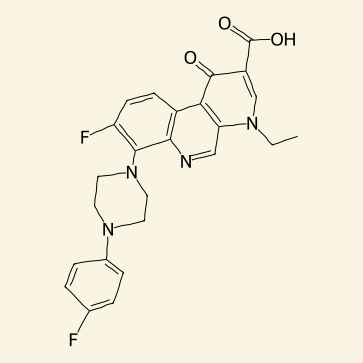 CCn1cc(C(=O)O)c(=O)c2c3ccc(F)c(N4CCN(c5ccc(F)cc5)CC4)c3ncc21